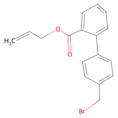 C=CCOC(=O)c1ccccc1-c1ccc(CBr)cc1